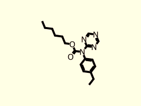 CCCCCCOC(=O)N(c1ccc(CC)cc1)c1ncncn1